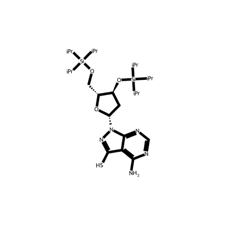 CC(C)[Si](OC[C@H]1O[C@@H](n2nc(S)c3c(N)ncnc32)C[C@@H]1O[Si](C(C)C)(C(C)C)C(C)C)(C(C)C)C(C)C